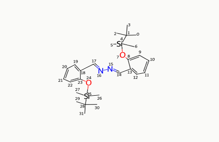 CC(C)(C)[Si](C)(C)Oc1ccccc1C=NN=Cc1ccccc1O[Si](C)(C)C(C)(C)C